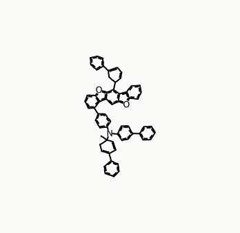 CC1(N(c2ccc(-c3ccccc3)cc2)c2ccc(-c3cccc4oc5c(C6C=CC=C(c7ccccc7)C6)c6c(cc5c34)oc3ccccc36)cc2)C=CC(c2ccccc2)=CC1